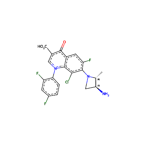 C[C@@H]1[C@@H](N)CN1c1c(F)cc2c(=O)c(C(=O)O)cn(-c3ccc(F)cc3F)c2c1Cl